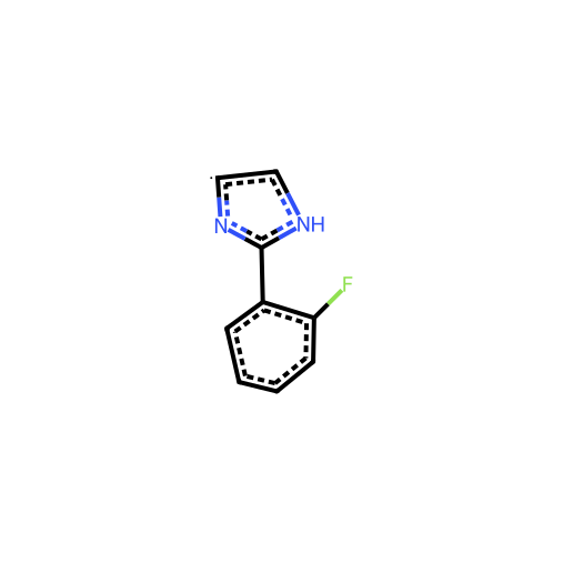 Fc1ccccc1-c1n[c]c[nH]1